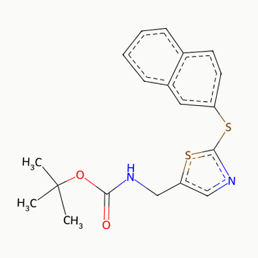 CC(C)(C)OC(=O)NCc1cnc(Sc2ccc3ccccc3c2)s1